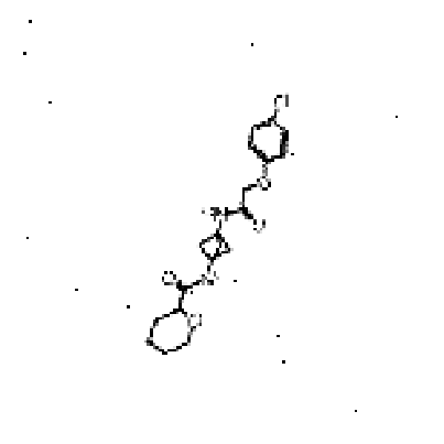 O=C(COc1ccc(Cl)cc1)NC12CC(NC(=O)C3CCCCO3)(C1)C2